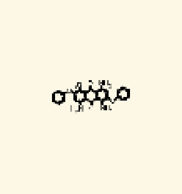 Nc1cc(Oc2ccccc2)c(N)c2c1C(=O)c1c(N)c(Oc3ccccc3)cc(N)c1C2=O